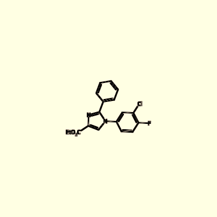 CCOC(=O)c1cn(-c2ccc(F)c(Cl)c2)c(-c2ccccc2)n1